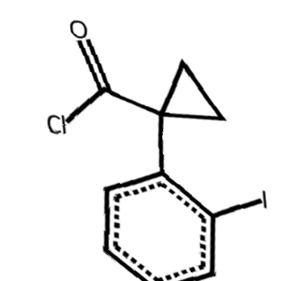 O=C(Cl)C1(c2ccccc2I)CC1